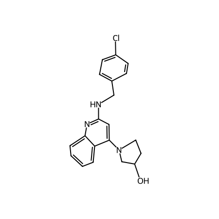 OC1CCN(c2cc(NCc3ccc(Cl)cc3)nc3ccccc23)C1